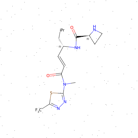 CC(C)C[C@@H](C=CC(=O)N(C)c1nnc(C(F)(F)F)s1)NC(=O)[C@@H]1CCN1